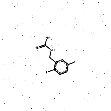 N=C(N)NCc1cc(F)ccc1F